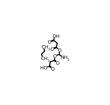 CCCC.NC(OC(=O)CC(=O)O)OC(=O)CC(=O)O